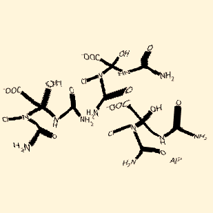 NC(=O)NC(O)(C(=O)[O-])N(Cl)C(N)=O.NC(=O)NC(O)(C(=O)[O-])N(Cl)C(N)=O.NC(=O)NC(O)(C(=O)[O-])N(Cl)C(N)=O.[Al+3]